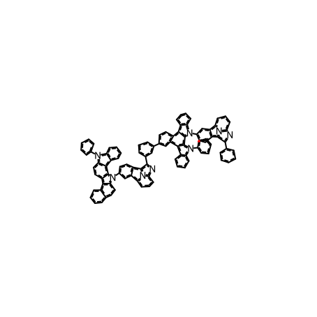 c1ccc(-c2nc3cccc4c5cc(-n6c7ccccc7c7c8ccc(-c9cccc(-c%10nc%11cccc%12c%13cc(-n%14c%15ccc%16ccccc%16c%15c%15ccc%16c(c%17ccccc%17n%16-c%16ccccc%16)c%15%14)ccc%13c%10n%11%12)c9)cc8c8c9ccccc9n(-c9ccccc9)c8c76)ccc5c2n34)cc1